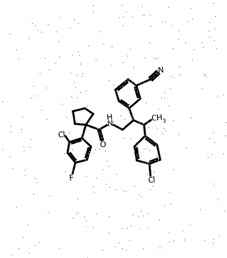 CC(c1ccc(Cl)cc1)C(CNC(=O)C1(c2ccc(F)cc2Cl)CCCC1)c1cccc(C#N)c1